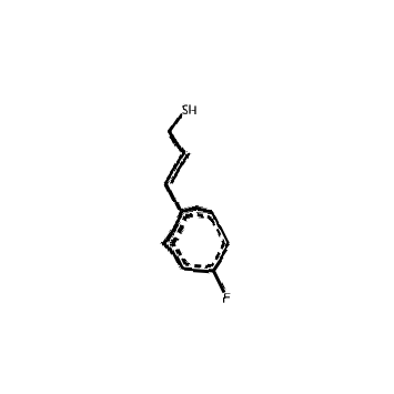 Fc1ccc(C=CCS)cc1